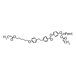 C=CC(=O)OCCCCCCOc1ccc(CCc2ccc(C(=O)Oc3ccc(OC(CCCCC)OC(=O)C=C)cc3)cc2)cc1